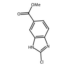 COC(=O)c1ccc2nc(Cl)[nH]c2c1